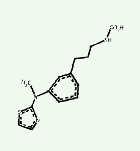 CN(c1cccc(CCCNC(=O)O)c1)c1nccs1